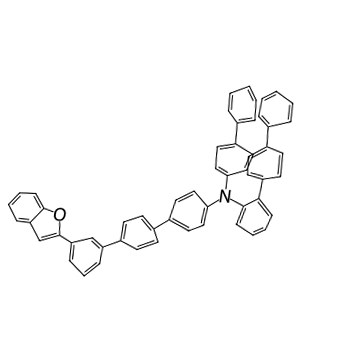 c1ccc(-c2ccc(-c3ccccc3N(c3ccc(-c4ccccc4)cc3)c3ccc(-c4ccc(-c5cccc(-c6cc7ccccc7o6)c5)cc4)cc3)cc2)cc1